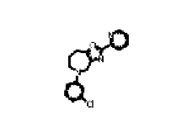 Clc1cccc(N2CCCc3oc(-c4ccccn4)nc3C2)c1